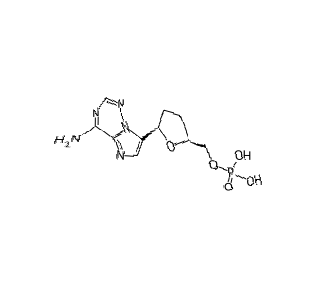 Nc1ncnn2c([C@H]3CC[C@@H](COP(=O)(O)O)O3)cnc12